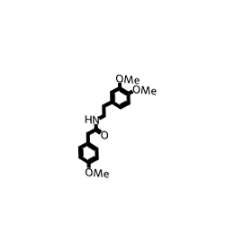 COc1ccc(CC(=O)NCCc2ccc(OC)c(OC)c2)cc1